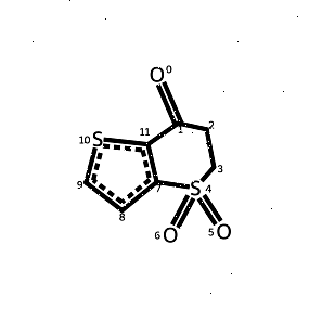 O=C1CCS(=O)(=O)c2ccsc21